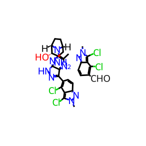 Cc1nc2c(-c3ccc4nn(C)c(Cl)c4c3Cl)n[nH]c2nc1N1[C@@H]2CC[C@H]1[C@@H](O)[C@@H](N)C2.Cn1nc2ccc(C=O)c(Cl)c2c1Cl